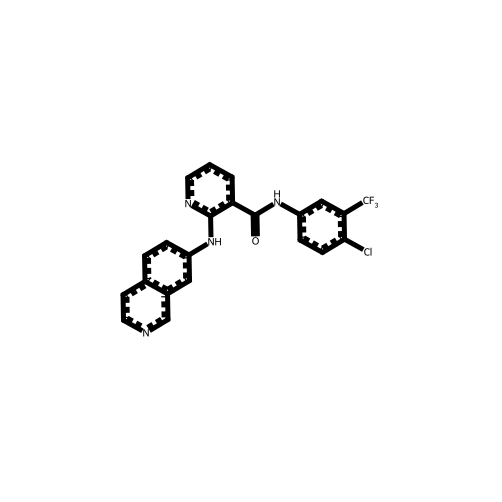 O=C(Nc1ccc(Cl)c(C(F)(F)F)c1)c1cccnc1Nc1ccc2ccncc2c1